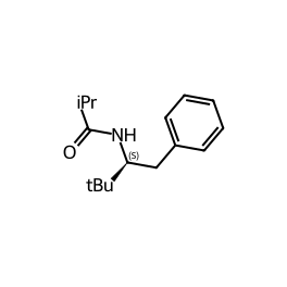 CC(C)C(=O)N[C@@H](Cc1ccccc1)C(C)(C)C